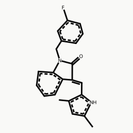 Cc1cc(C)c(C=C2C(=O)N(Cc3cccc(F)c3)c3ccccc32)[nH]1